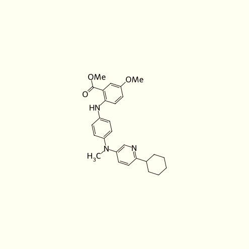 COC(=O)c1cc(OC)ccc1Nc1ccc(N(C)c2ccc(C3CCCCC3)nc2)cc1